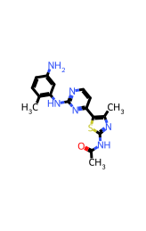 CC(=O)Nc1nc(C)c(-c2ccnc(Nc3cc(N)ccc3C)n2)s1